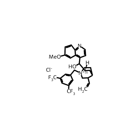 C=CC1C[N+]2(Cc3cc(C(F)(F)F)cc(C(F)(F)F)c3)CCC1C[C@H]2C(O)c1ccnc2ccc(OC)cc12.[Cl-]